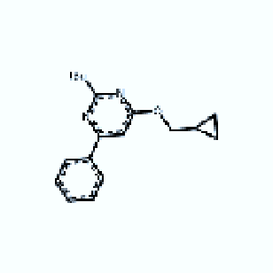 CC(C)(C)c1nc(OCC2CC2)cc(-c2ccccc2)n1